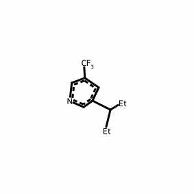 CCC(CC)c1cncc(C(F)(F)F)c1